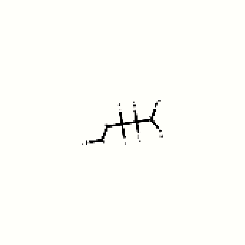 FCCC(F)(F)C(F)(F)[C](F)F